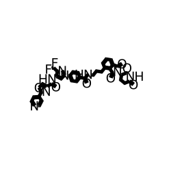 O=C1CCC(N2C(=O)c3cccc(CCCNC(=O)c4ccc(-n5cc(NC(=O)c6coc(-c7ccncc7)n6)c(C(F)F)n5)cc4)c3C2=O)C(=O)N1